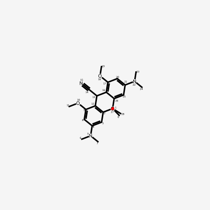 COc1cc(N(C)C)cc(OC)c1C(C#N)c1c(OC)cc(N(C)C)cc1OC